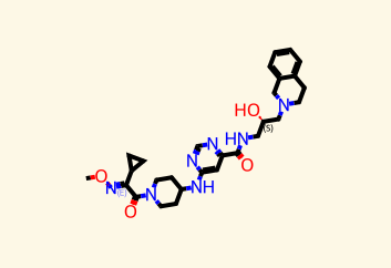 CO/N=C(/C(=O)N1CCC(Nc2cc(C(=O)NC[C@H](O)CN3CCc4ccccc4C3)ncn2)CC1)C1CC1